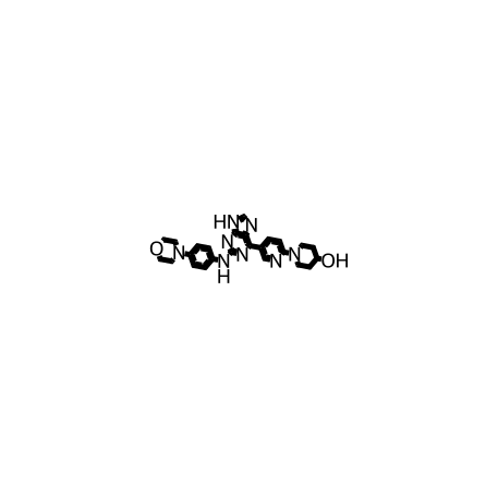 OC1CCN(c2ccc(-c3nc(Nc4ccc(N5CCOCC5)cc4)nc4[nH]cnc34)cn2)CC1